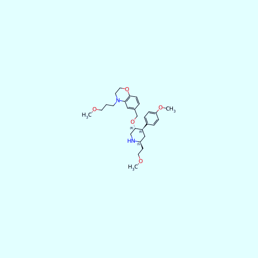 COCCCN1CCOc2ccc(CO[C@H]3CN[C@H](CCOC)C[C@@H]3c3ccc(OC)cc3)cc21